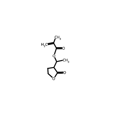 C=C(C)C(=O)OC(C)C1CCOC1=O